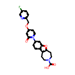 O=C(O)N1CCc2oc3cc(-n4ccc(OCc5ccc(F)cn5)cc4=O)ccc3c2CC1